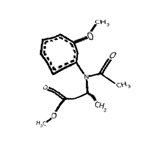 COC(=O)C(C)N(C(C)=O)c1ccccc1OC